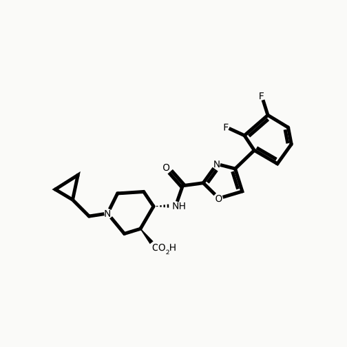 O=C(N[C@H]1CCN(CC2CC2)C[C@@H]1C(=O)O)c1nc(-c2cccc(F)c2F)co1